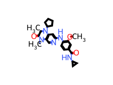 COc1cc(C(=O)NC2CC2)ccc1Nc1cc2c(cn1)N(C)C(=O)C(C)N2C1CCCC1